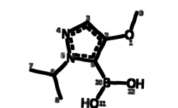 COc1cnn(C(C)C)c1B(O)O